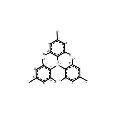 Cc1cc(C)c([SiH](c2c(C)cc(C)cc2C)c2c(C)cc(C)cc2C)c(C)c1